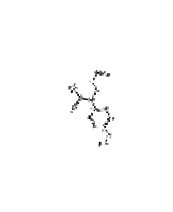 CCOc1ccc(N(CCNC)C(=O)C(F)(F)F)cc1